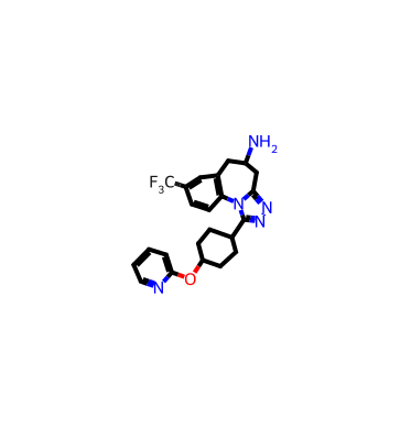 NC1Cc2cc(C(F)(F)F)ccc2-n2c(nnc2C2CCC(Oc3ccccn3)CC2)C1